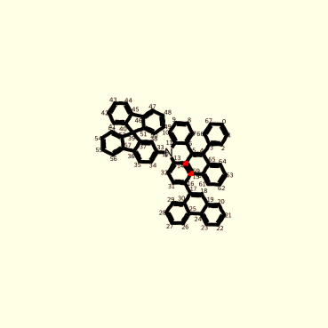 c1ccc(-c2c(-c3ccccc3N(c3ccc(-c4cc5ccccc5c5ccccc45)cc3)c3ccc4c(c3)C3(c5ccccc5-c5ccccc53)c3ccccc3-4)ccc3ccccc23)cc1